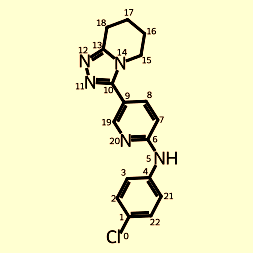 Clc1ccc(Nc2ccc(-c3nnc4n3CCCC4)cn2)cc1